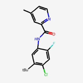 Cc1ccnc(C(=O)Nc2cc(C(C)(C)C)c(Cl)cc2F)c1